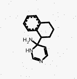 NC1(C2CCCc3ccccc32)C=CN=CN1